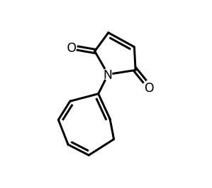 O=C1C=CC(=O)N1C1=CCC=CC=C1